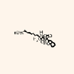 CCCCCCCCCCCCCCCCCCN[C@](C=O)(NC(=O)c1cc2ccccc2o1)[C@@H](C)O